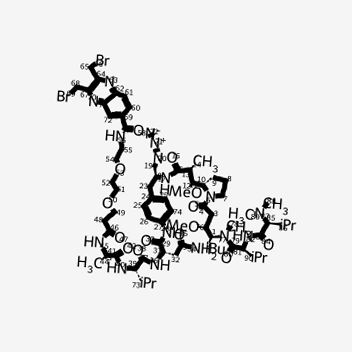 CC[C@H](C)[C@@H]([C@@H](CC(=O)N1CCC[C@H]1[C@H](OC)[C@@H](C)C(=O)N[C@H](CN=[N+]=[N-])Cc1ccc(NC(=O)[C@H](CC(N)=O)NC(=O)[C@@H](NC(=O)[C@H](C)NC(=O)CCOCCOCCNC(=O)c2ccc3nc(CBr)c(CBr)nc3c2)C(C)C)cc1)OC)N(C)C(=O)[C@@H](NC(=O)[C@H](C(C)C)N(C)C)C(C)C